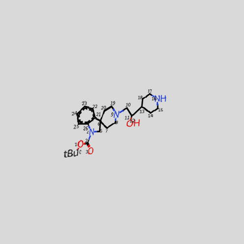 CC(C)(C)OC(=O)N1CC2(CCN(CC(O)C3CCNCC3)CC2)c2ccccc21